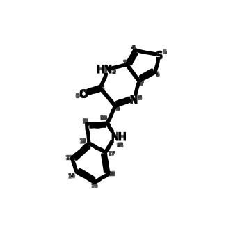 O=c1[nH]c2cscc2nc1-c1cc2ccccc2[nH]1